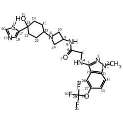 Cn1nc(NCC(=O)NC2CN(C3CCC(O)(c4cncs4)CC3)C2)c2cc(OC(F)(F)F)ccc21